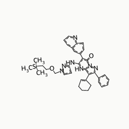 C[Si](C)(C)CCOCn1ccc(Nc2[nH]c3c(C4=CCCCC4)c(-c4ccccc4)nn3c(=O)c2-c2ccc3ncccc3c2)n1